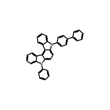 c1ccc(-c2ccc(-n3c4ccccc4c4c5c6ccccc6n(-c6ccccc6)c5ccc43)cc2)cc1